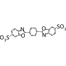 O=S(=O)(O)c1ccc2nc(-c3ccc(-c4nc5ccc(S(=O)(=O)O)cc5o4)cc3)oc2c1